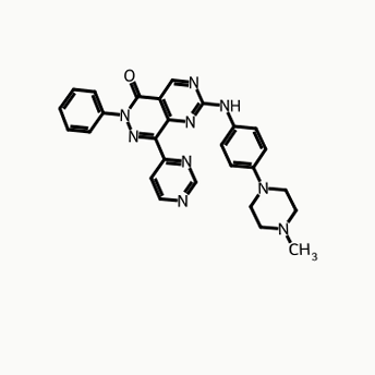 CN1CCN(c2ccc(Nc3ncc4c(=O)n(-c5ccccc5)nc(-c5ccncn5)c4n3)cc2)CC1